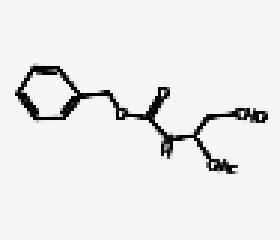 CC(=O)OC(CC=O)NC(=O)OCc1ccccc1